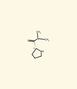 CN(C)C(=S)[C@H]1CCCN1